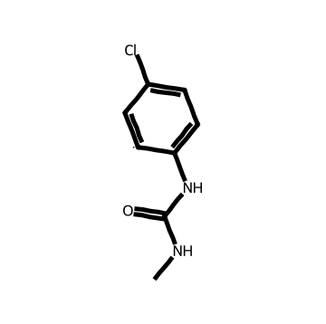 CNC(=O)Nc1[c]cc(Cl)cc1